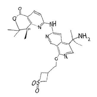 C[C@@H]1c2nc(Nc3cc4c(C(C)(C)N)cnc(OCC5CS(=O)(=O)C5)c4cn3)ccc2C(=O)OC1(C)C